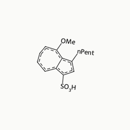 CCCCCc1cc(S(=O)(=O)O)c2ccccc(OC)c1-2